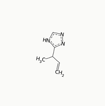 C=CC(C)c1nnc[nH]1